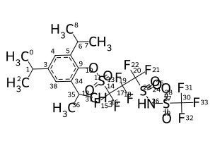 CC(C)c1cc(C(C)C)c(OS(=O)(=O)C(F)(F)C(F)(F)C(F)(F)S(=O)(=O)NS(=O)(=O)C(F)(F)F)c(C(C)C)c1